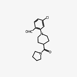 O=Cc1ccc(Cl)cc1N1CCC(C(=O)N2CCCC2)CC1